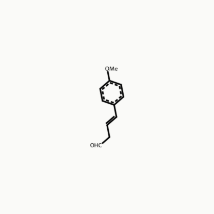 COc1ccc(C=CCC=O)cc1